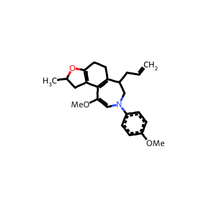 C=CCC1CN(c2ccc(OC)cc2)C=C(OC)C2=C1CCC1=C2CC(C)O1